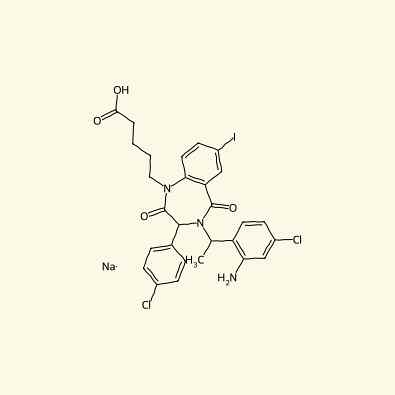 CC(c1ccc(Cl)cc1N)N1C(=O)c2cc(I)ccc2N(CCCCC(=O)O)C(=O)C1c1ccc(Cl)cc1.[Na]